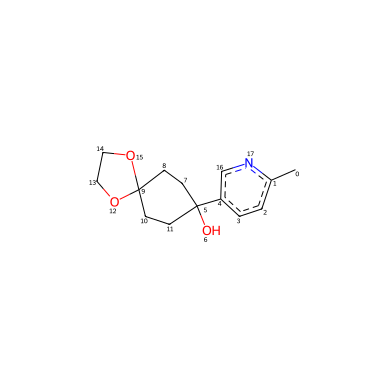 Cc1ccc(C2(O)CCC3(CC2)OCCO3)cn1